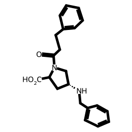 O=C(O)C1C[C@@H](NCc2ccccc2)CN1C(=O)CCc1ccccc1